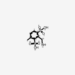 Cc1ccc(S(=O)(=O)O)c(C[NH])c1S(=O)(=O)O